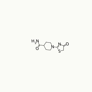 NC(=O)C1CCN(C2=NC(=O)CS2)CC1